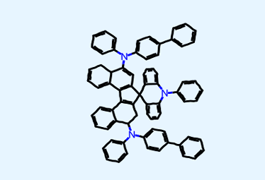 C1=CCC2C(=C1)C1=C(C=C2N(c2ccccc2)c2ccc(-c3ccccc3)cc2)C2(C3=C1c1ccccc1C(N(c1ccccc1)c1ccc(-c4ccccc4)cc1)C3)c1ccccc1N(c1ccccc1)c1ccccc12